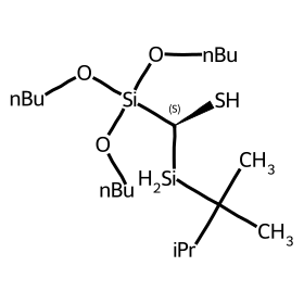 CCCCO[Si](OCCCC)(OCCCC)[C@@H](S)[SiH2]C(C)(C)C(C)C